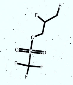 O=S(=O)(OCC(F)CF)C(F)(F)F